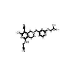 N#CCNc1nc(Cl)c(C#N)c2c1CCN(Cc1ccnc(OCC(F)F)c1)C2